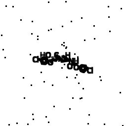 O=C(COc1ccc(Cl)cc1)NC1C2CN(C(CCOc3ccc(Cl)cc3)C(=O)O)C[C@H]21